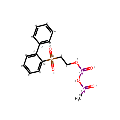 C[PH](=O)O[PH](=O)OCCS(=O)(=O)c1ccccc1-c1ccccc1